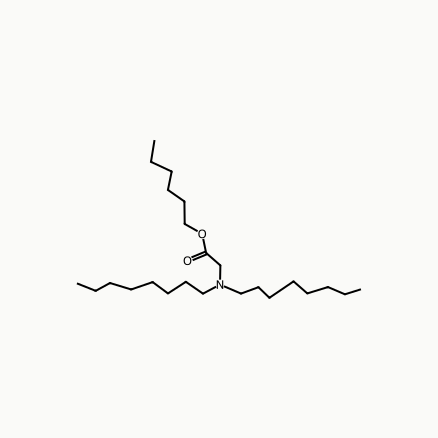 CCCCCCCCN(CCCCCCCC)CC(=O)OCCCCCC